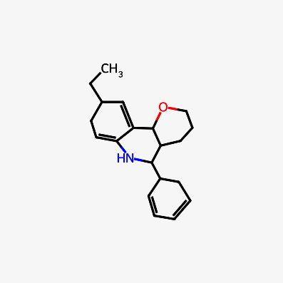 CCC1C=C2C(=CC1)NC(C1C=CC=CC1)C1CCCOC21